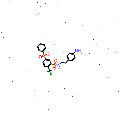 Nc1ccc(CCNS(=O)(=O)c2cc(S(=O)(=O)c3ccccc3)ccc2C(F)(F)F)cc1